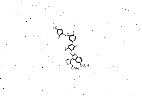 COC[C@H]1COC[C@H]1n1c(Cc2cc(F)c(-c3ccc(F)c(OCc4ccc(Cl)cc4F)c3)cc2F)nc2ccc(C(=O)O)cc21